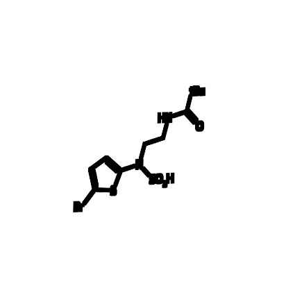 CC(C)(C)C(=O)NCCN(c1ccc(Br)s1)S(=O)(=O)O